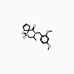 COc1ccc(CN2C(=O)C3(CC=CC3)S(=O)(=O)CC2C)c(OC)c1